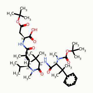 C/C(=C\[C@H](C(C)C)N(C)C(=O)[C@@H](NC(=O)[C@@H](N(C)C(=O)OC(C)(C)C)C(C)(C)c1ccccc1)C(C)(C)C)C(=O)N[C@@H](CC(=O)OC(C)(C)C)C(=O)O